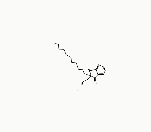 C=CCC1(CC=CCCCCCCCC)C(=O)c2ccccc2C1=O